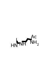 CC(=O)[C@H](N)CCCNC(=N)I